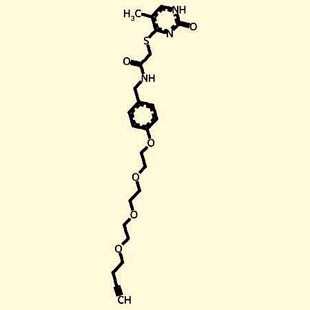 C#CCCOCCOCCOCCOc1ccc(CNC(=O)CSc2nc(=O)[nH]cc2C)cc1